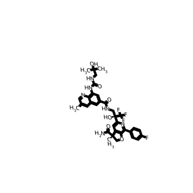 Cc1cnc2c(NC(=O)NCC(C)(C)O)cc(C(=O)NC[C@@](O)(c3cc4c(c(-c5ccc(F)cc5)n3)OC[C@]4(C)C(N)=O)C(F)(F)F)cc2c1